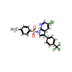 Cc1ccc(S(=O)(=O)n2cc(-c3ccc(C(F)(F)F)cc3)c3cc(Br)cnc32)cc1